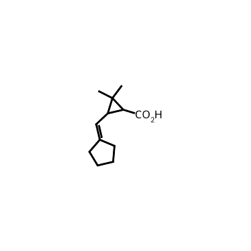 CC1(C)C(C=C2CCCC2)C1C(=O)O